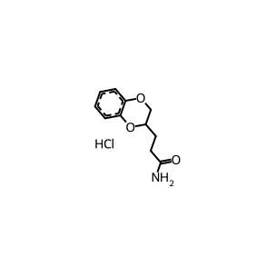 Cl.NC(=O)CCC1COc2ccccc2O1